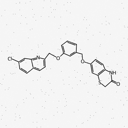 O=C1CSc2cc(OCc3cccc(OCc4ccc5ccc(Cl)cc5n4)c3)ccc2N1